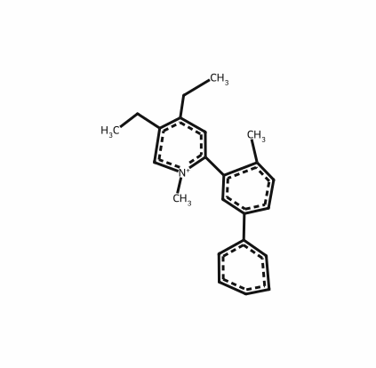 CCc1cc(-c2cc(-c3ccccc3)ccc2C)[n+](C)cc1CC